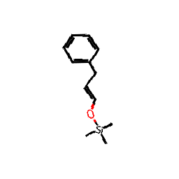 C[Si](C)(C)O/C=C/Cc1ccccc1